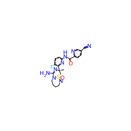 C[C@@]1(c2nc(NC(=O)c3ccc(C#N)cn3)ccc2F)CS2(=O)=NCCCCN2C(N)=N1